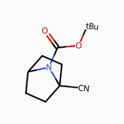 CC(C)(C)OC(=O)N1C2CCC1(C#N)CC2